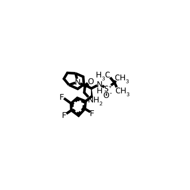 CC(C)(C)[S@+]([O-])N[C@@H](Cc1cc(F)c(F)cc1F)C1CC2CCC(C1)N2C(=O)CN